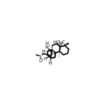 C[S+]([O-])C[C@H]1[C@H]2CC[C@@]3(CC[C@H]4[C@@](C)(CCC[C@@]4(C)C(=O)O)[C@@H]3C2)[C@@H]1N